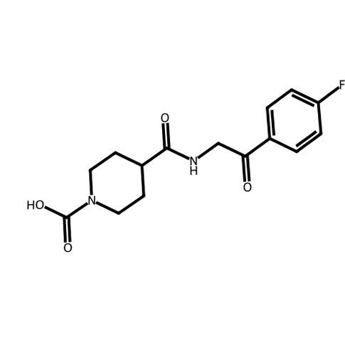 O=C(CNC(=O)C1CCN(C(=O)O)CC1)c1ccc(F)cc1